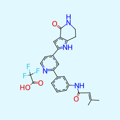 CC(C)=CC(=O)Nc1cccc(-c2cc(-c3cc4c([nH]3)CCNC4=O)ccn2)c1.O=C(O)C(F)(F)F